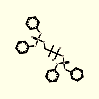 CC(C)(COP(=O)(Oc1ccccc1)Oc1ccccc1)C(Br)(Br)OP(=O)(Oc1ccccc1)Oc1ccccc1